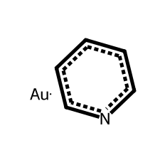 [Au].c1ccncc1